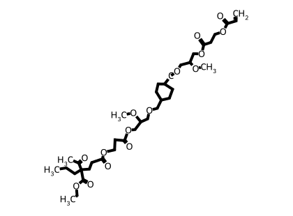 C=CC(=O)OCCC(=O)OCC(COCC1CCC(COCC(COC(=O)CCOC(=O)CCC(CCC)(C(C)=O)C(=O)OCC)OC)CC1)OC